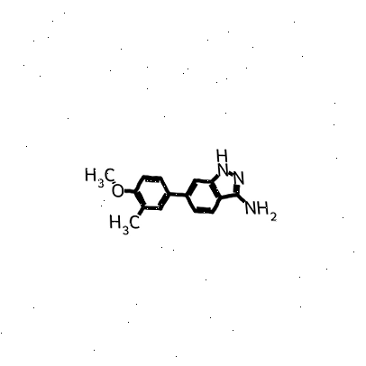 COc1ccc(-c2ccc3c(N)n[nH]c3c2)cc1C